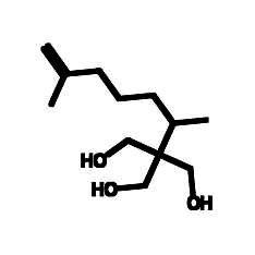 C=C(C)CCCC(C)C(CO)(CO)CO